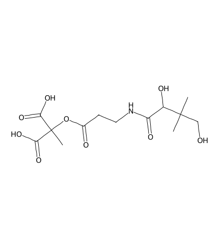 CC(OC(=O)CCNC(=O)C(O)C(C)(C)CO)(C(=O)O)C(=O)O